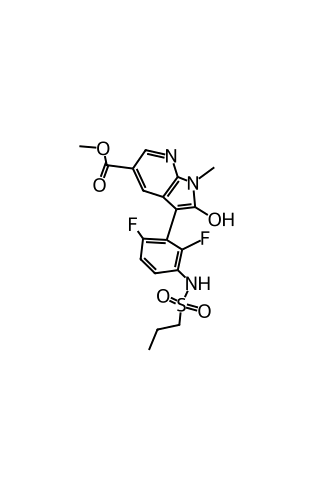 CCCS(=O)(=O)Nc1ccc(F)c(-c2c(O)n(C)c3ncc(C(=O)OC)cc23)c1F